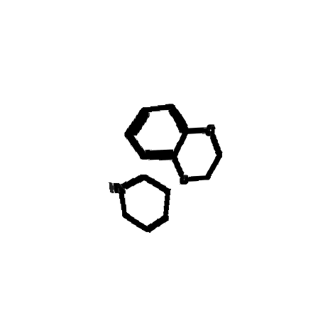 C1CCNCC1.c1ccc2c(c1)OCCO2